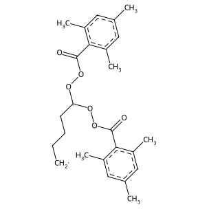 [CH2]CCC[C](OOC(=O)c1c(C)cc(C)cc1C)OOC(=O)c1c(C)cc(C)cc1C